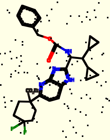 CCOC(=O)C1(c2ccc3[nH]c(C(NC(=O)OCc4ccccc4)C(C4CC4)C4CC4)nc3n2)CCC(F)(F)CC1